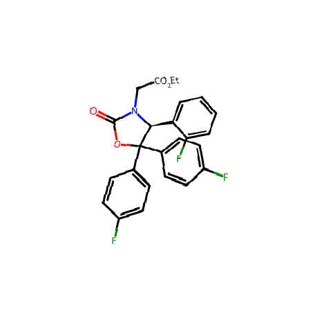 CCOC(=O)CN1C(=O)OC(c2ccc(F)cc2)(c2ccc(F)cc2)[C@@H]1c1ccccc1F